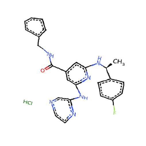 C[C@H](Nc1cc(C(=O)NCc2ccccc2)cc(Nc2cnccn2)n1)c1ccc(F)cc1.Cl